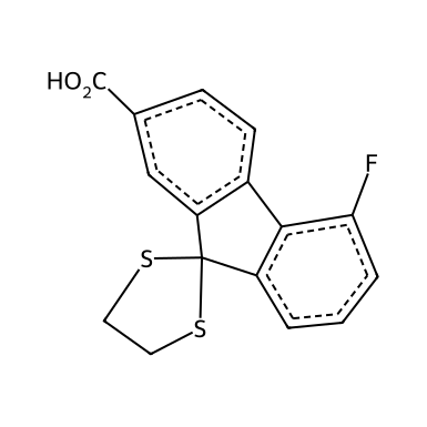 O=C(O)c1ccc2c(c1)C1(SCCS1)c1cccc(F)c1-2